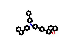 c1ccc(-c2ccc(N(c3ccc(-c4ccc(-c5ccc6oc7cccc8ccc5c6c87)cc4)cc3)c3ccc(-c4cccc5ccccc45)cc3)cc2)cc1